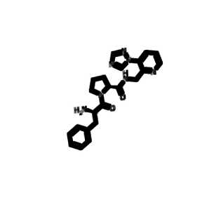 N[C@H](Cc1ccccc1)C(=O)N1CCC[C@H]1C(=O)NCc1ncccc1-n1cncn1